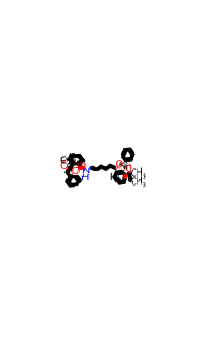 CCC(C)(C)O[Si](OCCCCCCNC(=O)OC(Cc1ccccc1)(OC)c1ccccc1)(c1ccccc1)c1ccccc1